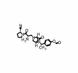 C[C@@H](c1ccc(OC=O)cc1)N1C(=O)[C@@H]2C[C@H]1CN2C[C@H](N)C(=O)N1CCC[C@H]1C#N